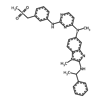 CC(Nc1nc2cc(N(C)c3ccnc(Nc4cccc(CS(C)(=O)=O)c4)n3)ccc2n1C)c1ccccc1